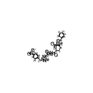 O=C(NNC(=O)[C@@H]1CC[C@@H]2CN1C(=O)N2OCc1ccccc1)c1nnn(Cc2ccc([N+](=O)[O-])cc2)n1